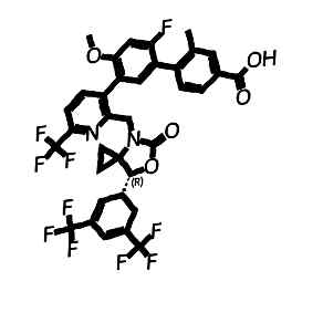 COc1cc(F)c(-c2ccc(C(=O)O)cc2C)cc1-c1ccc(C(F)(F)F)nc1CN1C(=O)O[C@H](C2C=C(C(F)(F)F)C=C(C(F)(F)F)C2)C12CC2